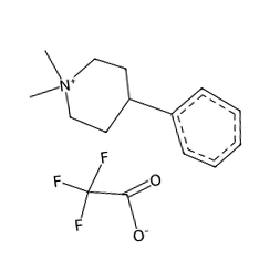 C[N+]1(C)CCC(c2ccccc2)CC1.O=C([O-])C(F)(F)F